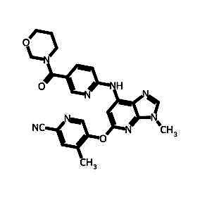 Cc1cc(C#N)ncc1Oc1cc(Nc2ccc(C(=O)N3CCCOC3)cn2)c2ncn(C)c2n1